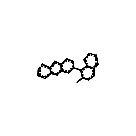 Cc1ccc2ccccc2c1-c1ccc2cc3ccccc3cc2c1